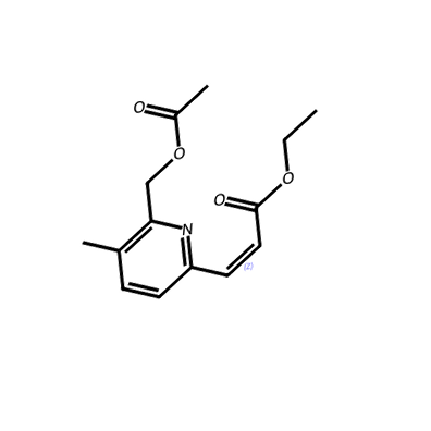 CCOC(=O)/C=C\c1ccc(C)c(COC(C)=O)n1